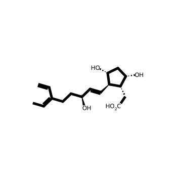 C=C/C(=C\C)CC[C@H](O)/C=C/[C@@H]1[C@@H](CC(=O)O)[C@@H](O)C[C@H]1O